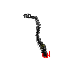 CCCCCCCCCCCCCCCCCCCCCCCCCCCCCCSCCCCO